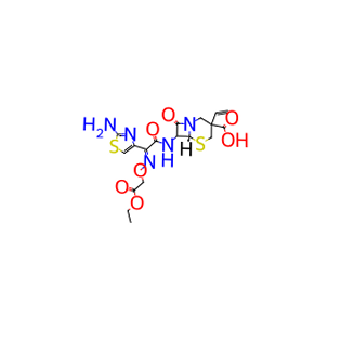 C=CC1(C(=O)O)CS[C@@H]2C(NC(=O)C(=NOCC(=O)OCC)c3csc(N)n3)C(=O)N2C1